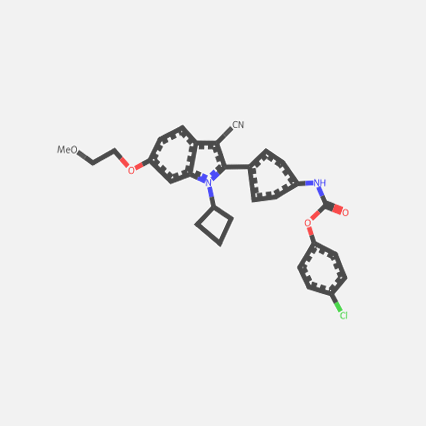 COCCOc1ccc2c(C#N)c(-c3ccc(NC(=O)Oc4ccc(Cl)cc4)cc3)n(C3CCC3)c2c1